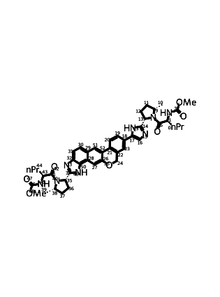 CCC[C@H](NC(=O)OC)C(=O)N1[C@@H](C)CC[C@H]1c1ncc(-c2ccc3c(c2)COc2cc4c(ccc5nc([C@@H]6CC[C@H](C)N6C(=O)[C@H](CCC)NC(=O)OC)[nH]c54)cc2-3)[nH]1